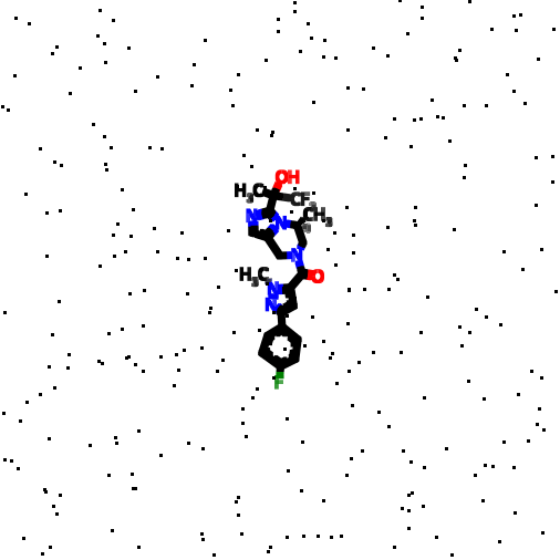 C[C@H]1CN(C(=O)c2cc(-c3ccc(F)cc3)nn2C)Cc2cnc(C(C)(O)C(F)(F)F)n21